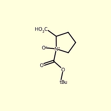 CC(C)(C)OC(=O)[N+]1([O-])CCCC1C(=O)O